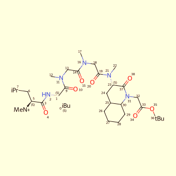 CC[C@H](C)[C@H](NC(=O)[C@H](CC(C)C)NC)C(=O)N(C)CC(=O)N(C)CC(=O)N(C)[C@H]1CC2CCCCC2N(CC(=O)OC(C)(C)C)C1=O